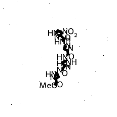 COC(=O)c1cc(NC(=O)c2cc(NC(=O)c3cc(NC(=O)c4n[nH]cc4[N+](=O)[O-])[nH]n3)[nH]n2)[nH]n1